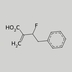 C=C(C(=O)O)C(F)Cc1ccccc1